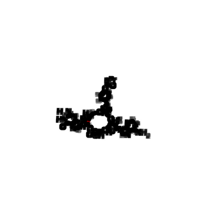 CCCC(=O)Oc1ccc(CSP2(=O)CO[C@H]3[C@@H](F)[C@H](n4cnc5c(N)ncnc54)O[C@@H]3COP(=O)(O)O[C@@H]3[C@H](F)[C@@H](CO2)O[C@H]3n2cnc3c(=O)[nH]c(N)nc32)cc1